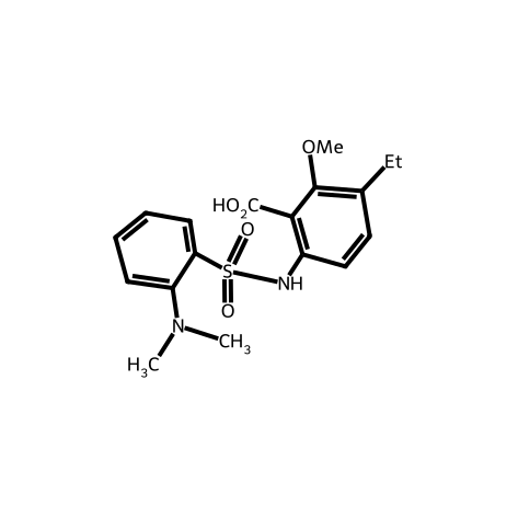 CCc1ccc(NS(=O)(=O)c2ccccc2N(C)C)c(C(=O)O)c1OC